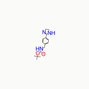 CC(C)(C)OC(=O)NCc1ccc(C2=NCCN2)cc1